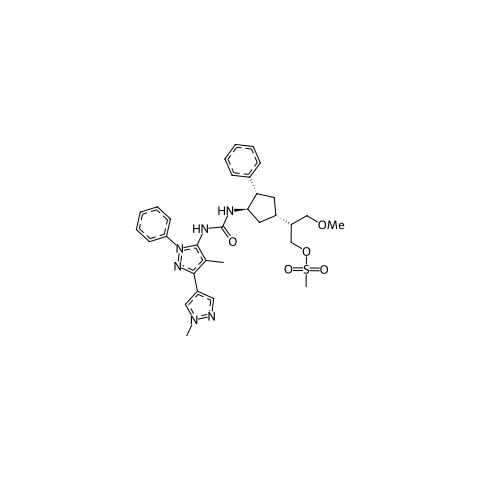 COCC(COS(C)(=O)=O)[C@@H]1C[C@@H](NC(=O)Nc2c(C)c(-c3cnn(C)c3)nn2-c2ccccc2)[C@H](c2ccccc2)C1